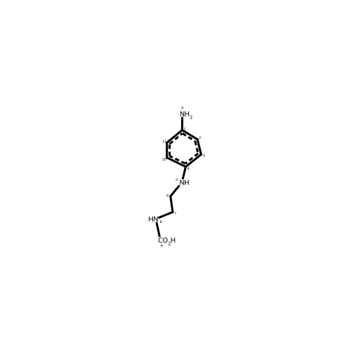 Nc1ccc(NCCNC(=O)O)cc1